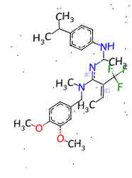 C/C=C(\C(=N/C(C)Nc1ccc(C(C)C)cc1)N(C)Cc1ccc(OC)c(OC)c1)C(F)(F)F